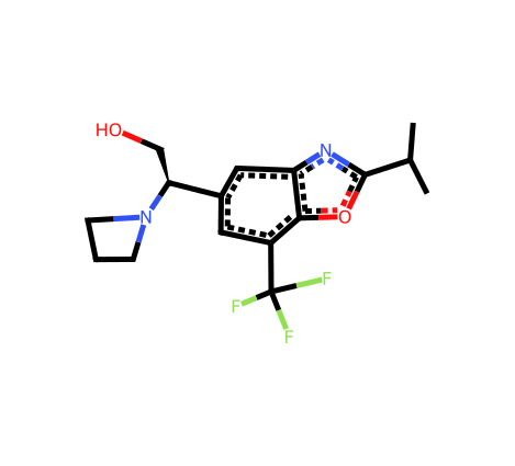 CC(C)c1nc2cc([C@H](CO)N3CCC3)cc(C(F)(F)F)c2o1